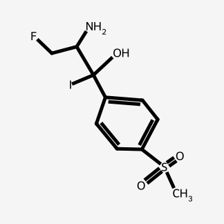 CS(=O)(=O)c1ccc(C(O)(I)C(N)CF)cc1